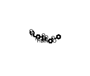 O=C(Nc1ccc2c(c1)OC(c1ccccc1)O2)N(S)C(=O)c1ccc(CN2CCOCC2)nc1